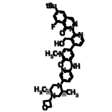 C[C@@H]1CN(c2ccc(Nc3cc(-c4ccnc(-n5ncc6cc(C(C)(C)C)cc(F)c6c5=O)c4CO)cn(C)c3=O)nc2)[C@@H](C)CN1C1COC1